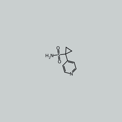 NS(=O)(=O)C1(c2ccncc2)CC1